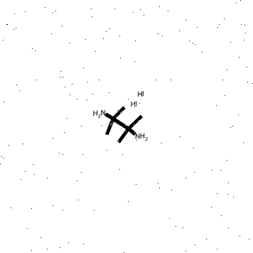 CC(C)(N)C(C)(C)N.I.I